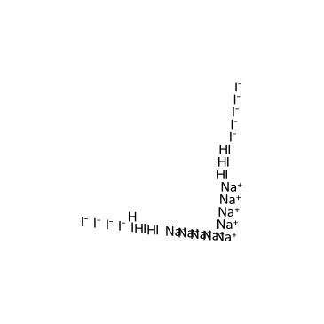 I.I.I.I.I.I.[I-].[I-].[I-].[I-].[I-].[I-].[I-].[I-].[I-].[Na+].[Na+].[Na+].[Na+].[Na+].[Na+].[Na+].[Na+].[Na+]